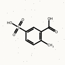 Cc1ccc(S(=O)(=O)O)cc1C(=O)O